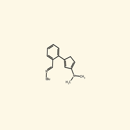 CN(C)C1=CCC(c2ccccc2C=NC(C)(C)C)=C1